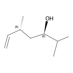 C=C[C@H](C)C[C@@H](O)C(C)C